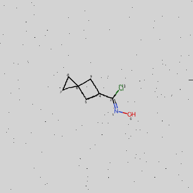 ON=C(Cl)C1CC2(CC2)C1